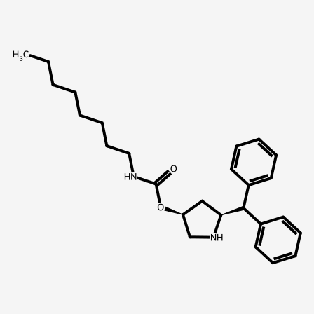 CCCCCCCCNC(=O)O[C@@H]1CN[C@H](C(c2ccccc2)c2ccccc2)C1